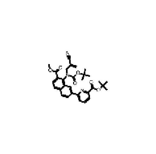 C=C(C#N)CN(C(=O)OC(C)(C)C)c1c(C(=O)OC)ccc2ccc(-c3cccc(C(=O)OC(C)(C)C)n3)cc12